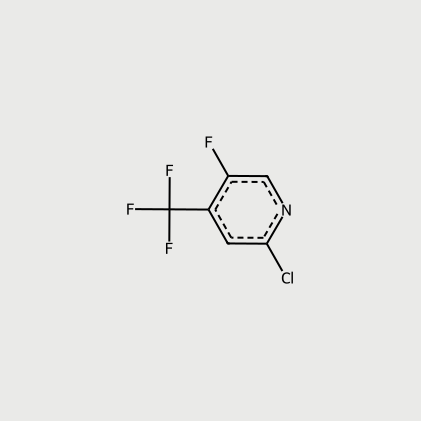 Fc1cnc(Cl)cc1C(F)(F)F